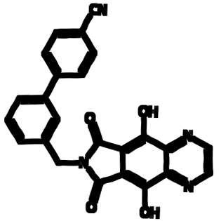 N#Cc1ccc(-c2cccc(CN3C(=O)c4c(c(O)c5nccnc5c4O)C3=O)c2)cc1